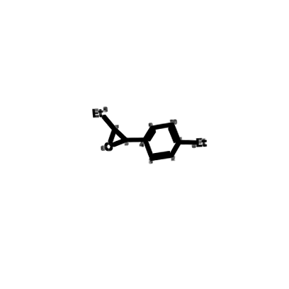 CCc1ccc(C2OC2CC)cc1